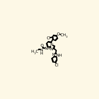 CCNC(=O)Nc1ccc(-c2ccc(OC)cc2Cl)n2cc(Cc3nc4ccc(Cl)cc4[nH]3)nc12